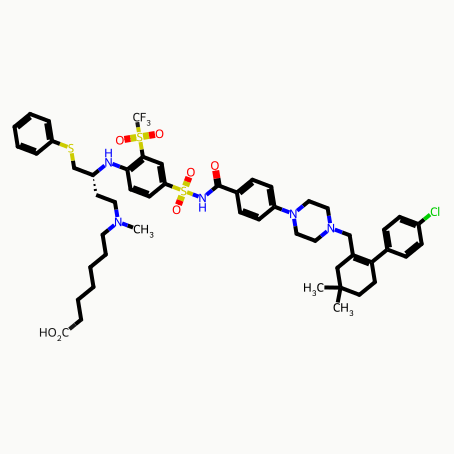 CN(CCCCCCC(=O)O)CC[C@H](CSc1ccccc1)Nc1ccc(S(=O)(=O)NC(=O)c2ccc(N3CCN(CC4=C(c5ccc(Cl)cc5)CCC(C)(C)C4)CC3)cc2)cc1S(=O)(=O)C(F)(F)F